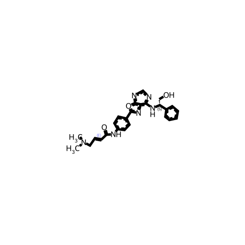 CN(C)C/C=C/C(=O)Nc1ccc(-c2nc3c(N[C@H](CO)c4ccccc4)ncnc3o2)cc1